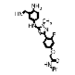 CC(C)NC(=O)COc1ccc(-c2nc(Nc3ccc(N)c(C=N)c3)n(C)n2)c(F)c1